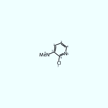 CNc1cccnc1Cl